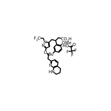 COc1ccc(C(C)(C)C)cc1C(CC(=O)O)Cc1cc(OCCc2ccc3c(n2)NCCC3)nn1CC(F)(F)F.O=C(O)C(F)(F)F